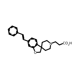 O=C(O)CCN1CCC2(CC1)COc1cc(/C=C/c3ccccc3)ccc12